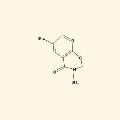 BN1COc2ncc(C(C)(C)C)cc2C1=O